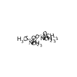 CSCC[C@H](N)C(=O)C(C)Cc1cccc(C[C@H](N)C(=O)C(C)C)c1